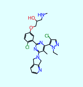 CCn1ncc(Cl)c1-c1nc(-c2cc(OCC(O)CNC)ccc2Cl)nc(N2Cc3cccnc3C2)c1C